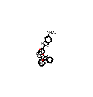 CC(=O)Nc1ccc2oc(-c3ccnc(C(=O)N4CC5CC(C4)N5C(c4ccccc4)c4nnn(C)n4)c3)nc2c1